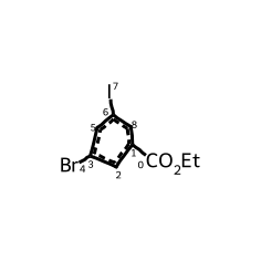 CCOC(=O)c1cc(Br)cc(I)c1